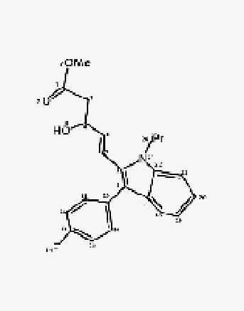 COC(=O)CC(O)/C=C/c1c(-c2ccc(F)cc2)c2ccccc2n1C(C)C